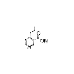 O=C(O)c1cnccc1CCI